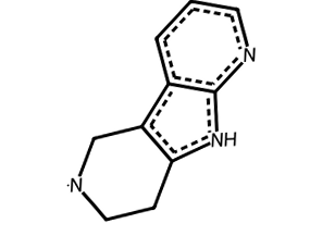 c1cnc2[nH]c3c(c2c1)C[N]CC3